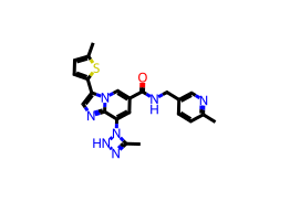 Cc1ccc(CNC(=O)c2cc(-n3[nH]nc3C)c3ncc(-c4ccc(C)s4)n3c2)cn1